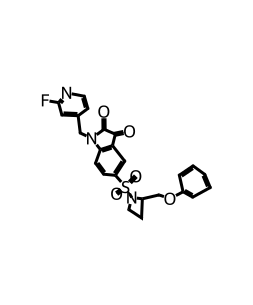 O=C1C(=O)N(Cc2ccnc(F)c2)c2ccc(S(=O)(=O)N3CCC3COc3ccccc3)cc21